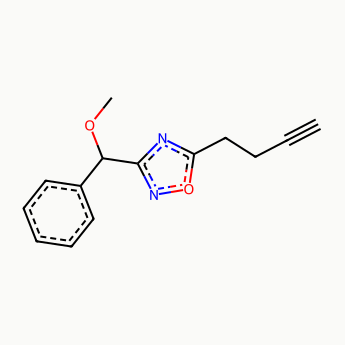 C#CCCc1nc(C(OC)c2ccccc2)no1